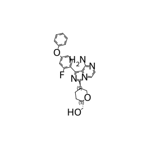 Nc1nccn2c([C@@H]3CC[C@@H](CO)OC3)nc(-c3ccc(Oc4ccccc4)cc3F)c12